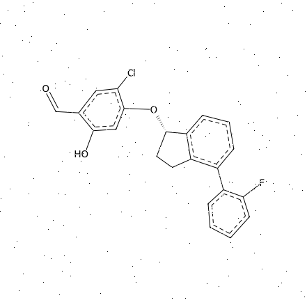 O=Cc1cc(Cl)c(O[C@H]2CCc3c(-c4ccccc4F)cccc32)cc1O